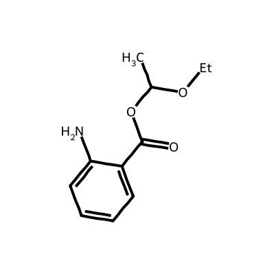 CCOC(C)OC(=O)c1ccccc1N